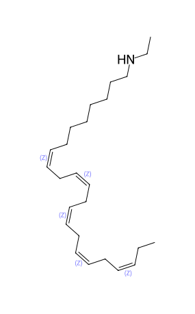 CC/C=C\C/C=C\C/C=C\C/C=C\C/C=C\CCCCCCCNCC